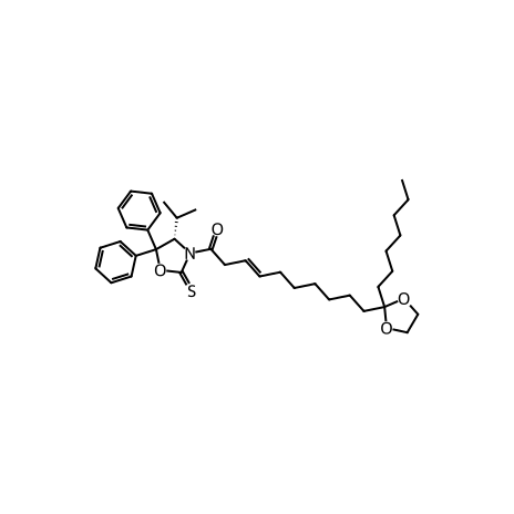 CCCCCCCC1(CCCCCCC=CCC(=O)N2C(=S)OC(c3ccccc3)(c3ccccc3)[C@@H]2C(C)C)OCCO1